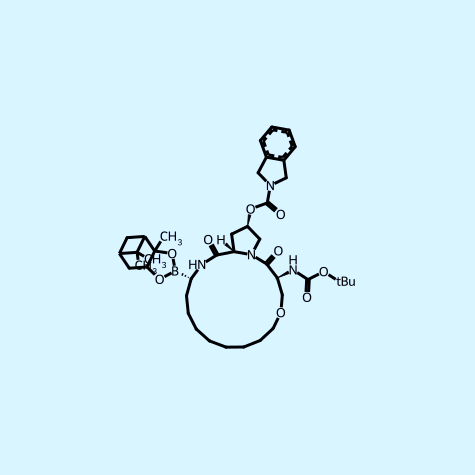 CC(C)(C)OC(=O)N[C@H]1COCCCCCCCC[C@H](B2OC3CC4CC(C4(C)C)C3(C)O2)NC(=O)[C@@H]2C[C@@H](OC(=O)N3Cc4ccccc4C3)CN2C1=O